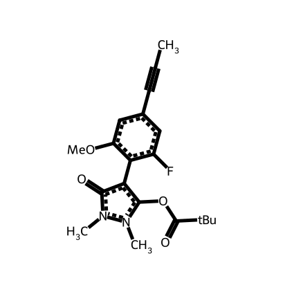 CC#Cc1cc(F)c(-c2c(OC(=O)C(C)(C)C)n(C)n(C)c2=O)c(OC)c1